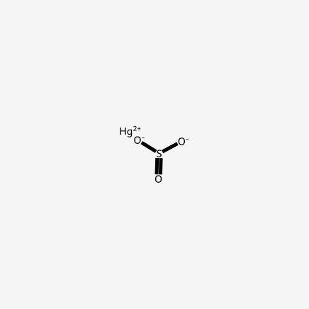 O=S([O-])[O-].[Hg+2]